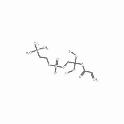 C=CC(=O)OC(COP(=O)([O-])OCC[N+](C)(C)C)(OCC)OCC